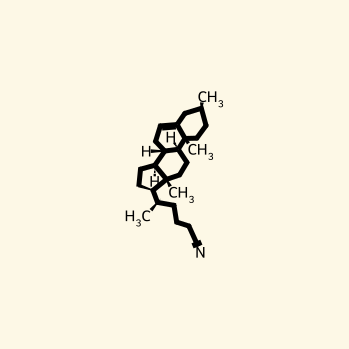 C[C@H]1CC[C@@]2(C)C(=CC[C@H]3[C@@H]4CC[C@H]([C@H](C)CCCC#N)[C@@]4(C)CC[C@@H]32)C1